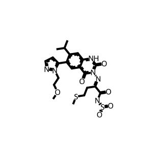 COCCn1nccc1-c1cc2c(=O)n(N=C(CCSC)C(=O)N=S(=O)=O)c(=O)[nH]c2cc1C(C)C